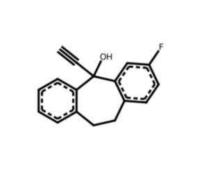 C#CC1(O)c2ccccc2CCc2ccc(F)cc21